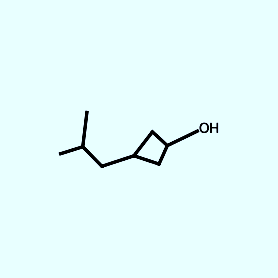 CC(C)CC1CC(O)C1